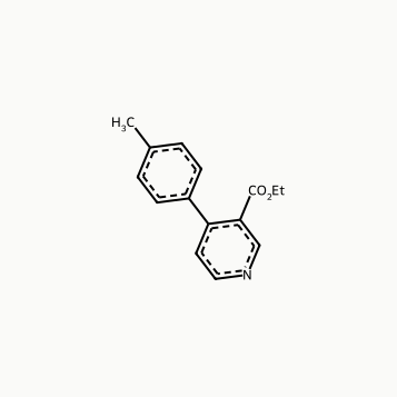 CCOC(=O)c1cnccc1-c1ccc(C)cc1